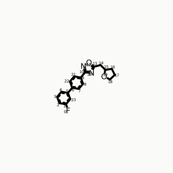 Fc1cccc(-c2ccc(-c3noc(CC4CCCO4)n3)cc2)c1